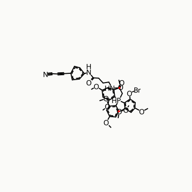 COc1cc(OC)c([PH](CC(=O)NCCCC(=O)Nc2ccc(C#CC#N)cc2)(c2c(OC)cc(OC)cc2OC)c2c(OC)cc(OC)cc2OBr)c(OC)c1